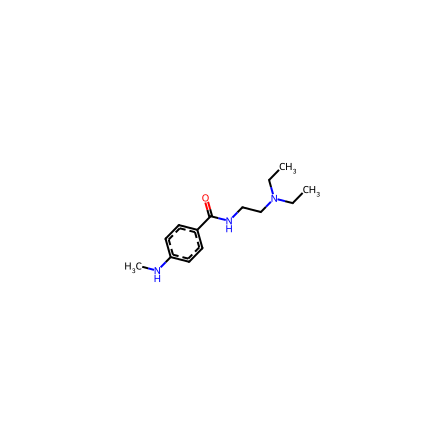 CCN(CC)CCNC(=O)c1ccc(NC)cc1